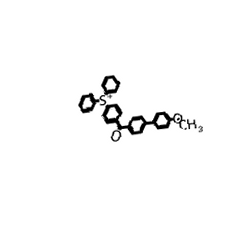 COc1ccc(-c2ccc(C(=O)c3ccc([S+](c4ccccc4)c4ccccc4)cc3)cc2)cc1